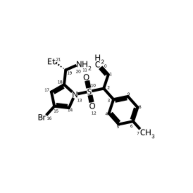 C=CC(c1ccc(C)cc1)S(=O)(=O)n1cc(Br)cc1[C@@H](N)CC